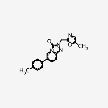 Cc1ccc(-c2ccc3nn(Cc4ncc(C)o4)c(=O)n3c2)cc1